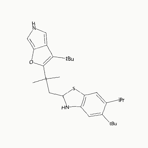 CC(C)c1cc2c(cc1C(C)(C)C)NC(CC(C)(C)c1oc3c[nH]cc3c1C(C)(C)C)S2